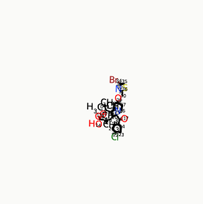 CC(C)(C)C(=O)c1c(CC(C)(C)C(=O)O)c(C(=O)c2ccc(Cl)cc2)n2ccc(OCc3nc(Br)cs3)cc12